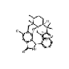 C[C@H]1CC[C@H]2C(C)(C)C(=O)[C@H](N)C[C@]23Oc2c(c(Cl)cc4c2[C@@H](c2ccccc2O)NC4=O)C[C@]13C